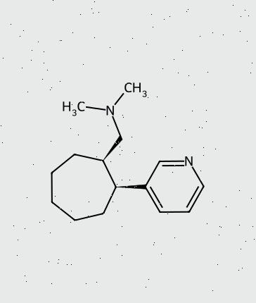 CN(C)C[C@@H]1CCCCC[C@@H]1c1cccnc1